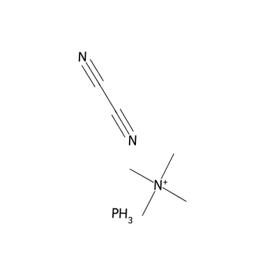 C[N+](C)(C)C.N#CC#N.P